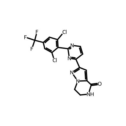 O=C1NCCn2nc(-c3ccnc(-c4c(Cl)cc(C(F)(F)F)cc4Cl)n3)cc21